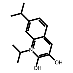 CC(C)c1ccc2cc(O)c(O)[n+](C(C)C)c2c1